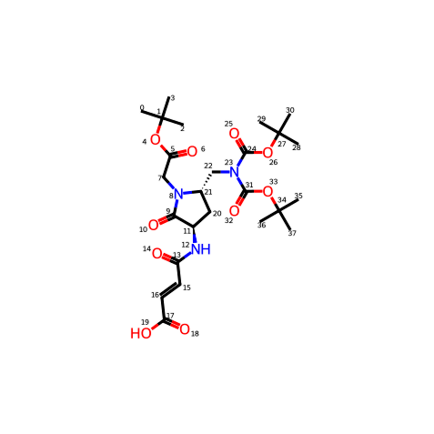 CC(C)(C)OC(=O)CN1C(=O)[C@H](NC(=O)C=CC(=O)O)C[C@H]1CN(C(=O)OC(C)(C)C)C(=O)OC(C)(C)C